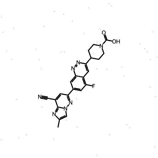 Cc1cn2nc(-c3cc(F)c4cc(C5CCN(C(=O)O)CC5)nnc4c3)cc(C#N)c2n1